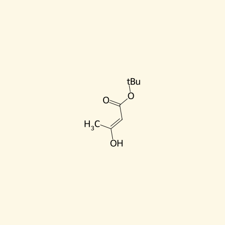 C/C(O)=C\C(=O)OC(C)(C)C